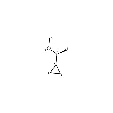 CO[C@@H](C)C1CC1